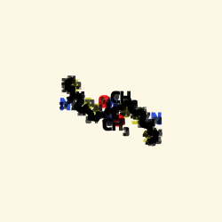 CN1C(=O)C2=C(c3ccc(-c4ccc(/C=C(\C#N)c5cccs5)s4)s3)N(C)C(=O)C2=C1c1ccc(-c2ccc(/C=C(\C#N)c3cccs3)s2)s1